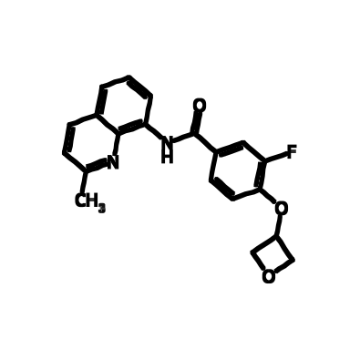 Cc1ccc2cccc(NC(=O)c3ccc(OC4COC4)c(F)c3)c2n1